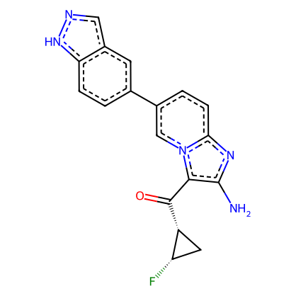 Nc1nc2ccc(-c3ccc4[nH]ncc4c3)cn2c1C(=O)[C@@H]1C[C@@H]1F